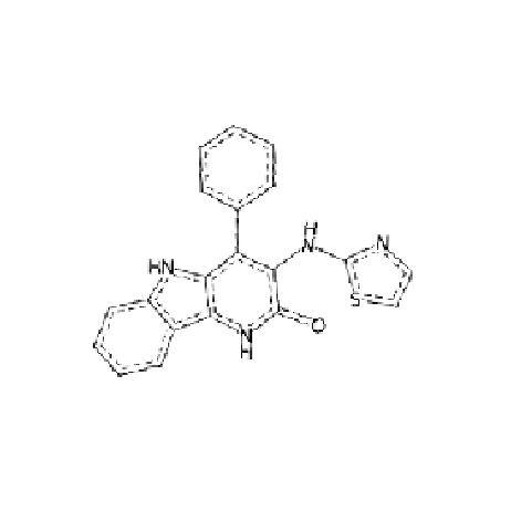 O=c1[nH]c2c([nH]c3ccccc32)c(-c2ccccc2)c1Nc1nccs1